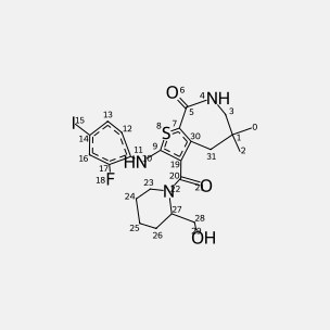 CC1(C)CNC(=O)c2sc(Nc3ccc(I)cc3F)c(C(=O)N3CCCCC3CO)c2C1